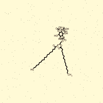 CCCCCCCCCCCCCCCC(=O)O[C@H](COC(=O)CCCCCCCCCCCCCCCCS)COP(=O)(O)OC1C(O)[C@@H](O)C(OP(=O)(O)O)[C@@H](OP(=O)(O)O)[C@H]1O